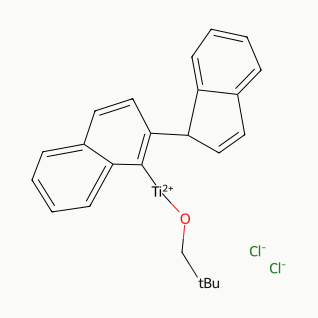 CC(C)(C)C[O][Ti+2][c]1c(C2C=Cc3ccccc32)ccc2ccccc12.[Cl-].[Cl-]